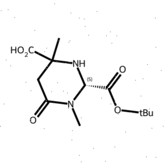 CN1C(=O)CC(C)(C(=O)O)N[C@@H]1C(=O)OC(C)(C)C